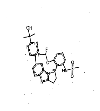 CC(C)(O)c1ncc(-c2ccc3nc4n(c3c2)[C@@H](c2c(NS(C)(=O)=O)cccc2OC(F)F)CC4)cn1